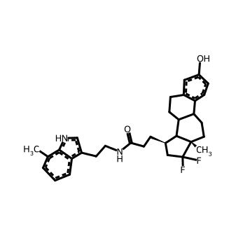 Cc1cccc2c(CCNC(=O)CC[C@@H]3CC(F)(F)[C@@]4(C)CCC5c6ccc(O)cc6CCC5C34)c[nH]c12